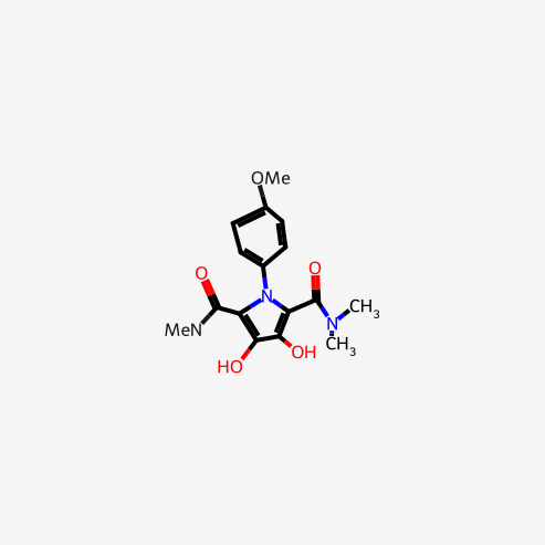 CNC(=O)c1c(O)c(O)c(C(=O)N(C)C)n1-c1ccc(OC)cc1